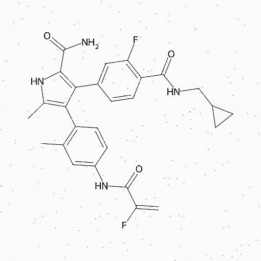 C=C(F)C(=O)Nc1ccc(-c2c(C)[nH]c(C(N)=O)c2-c2ccc(C(=O)NCC3CC3)c(F)c2)c(C)c1